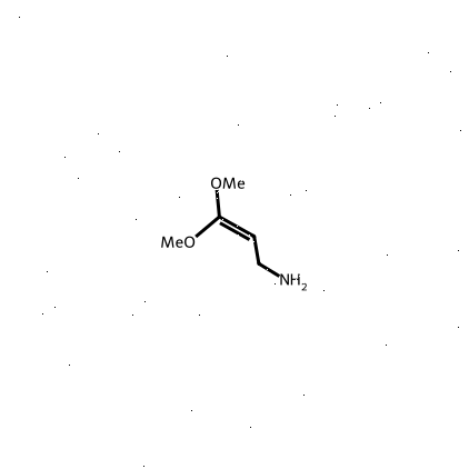 COC(=CCN)OC